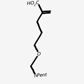 C=C(CCCOCCCCCC)C(=O)O